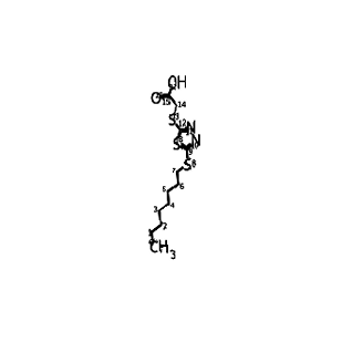 CCCCCCCCSc1nnc(SCC(=O)O)s1